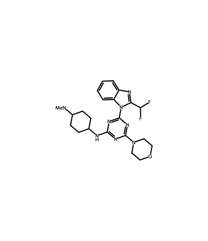 CNC1CCC(Nc2nc(N3CCOCC3)nc(-n3c(C(F)F)nc4ccccc43)n2)CC1